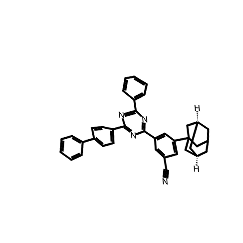 N#Cc1cc(-c2nc(-c3ccccc3)nc(-c3ccc(-c4ccccc4)cc3)n2)cc(C23CC4C[C@H](C2)C[C@@H](C4)C3)c1